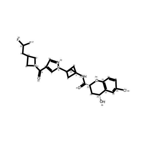 O=C(NC12CC(n3cc(C(=O)N4CC(CC(F)F)C4)cn3)(C1)C2)[C@H]1C[C@@H](O)c2cc(Cl)ccc2O1